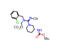 CCOC(=O)CN(Cc1ccccc1Cl)C(=NC#N)N1CCC[C@@H](NC(=O)OC(C)(C)C)C1